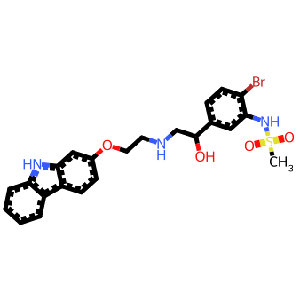 CS(=O)(=O)Nc1cc(C(O)CNCCOc2ccc3c(c2)[nH]c2ccccc23)ccc1Br